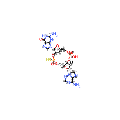 Nc1nc2c(ncn2[C@@H]2O[C@@H]3COP(=O)(O)O[C@H]4C[C@H](c5cnc6c(N)ncnn56)O[C@@H]4COP(=O)(S)O[C@@H]2C3)c(=O)[nH]1